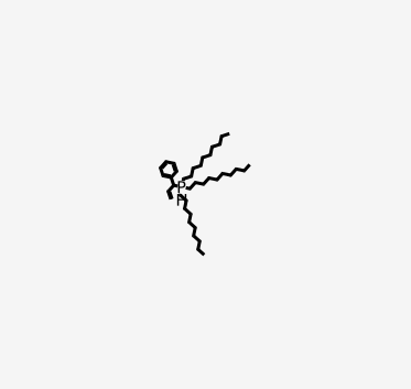 C=CC(c1ccccc1)[PH](CCCCCCCCCC)(CCCCCCCCCC)CCCCCCCCCC